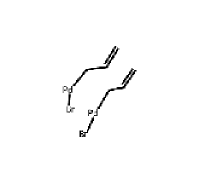 C=C[CH2][Pd][Br].C=C[CH2][Pd][Br]